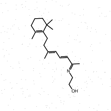 CC(=CC=CC(C)=NCCO)CCC1=C(C)CCCC1(C)C